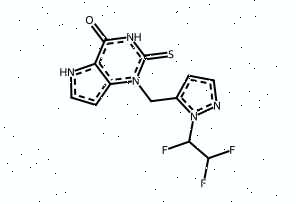 O=c1[nH]c(=S)n(Cc2ccnn2C(F)C(F)F)c2cc[nH]c12